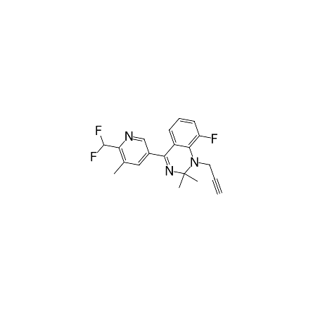 C#CCN1c2c(F)cccc2C(c2cnc(C(F)F)c(C)c2)=NC1(C)C